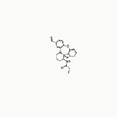 C=Cc1ccc2c(c1)N1CCC[C@H](NC(=O)CF)[C@H]1c1ccccc1O2